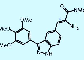 CNC(=O)/C(N)=C/c1ccc2[nH]nc(-c3cc(OC)c(OC)c(OC)c3)c2c1